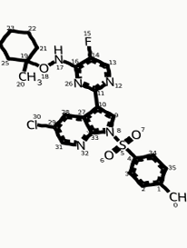 Cc1ccc(S(=O)(=O)n2cc(-c3ncc(F)c(NOC4(C)CCCCC4)n3)c3cc(Cl)cnc32)cc1